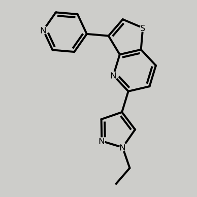 CCn1cc(-c2ccc3scc(-c4ccncc4)c3n2)cn1